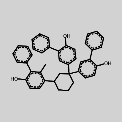 Cc1c(C2CCCC(c3ccc(O)c(-c4ccccc4)c3)(c3ccc(O)c(-c4ccccc4)c3)C2)ccc(O)c1-c1ccccc1